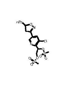 CCCC1CC(c2cnc(C(COS(C)(=O)=O)OS(C)(=O)=O)c(Cl)c2)=NO1